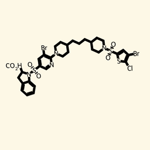 O=C(O)C1Cc2ccccc2N1S(=O)(=O)c1cnc(N2CCC(CCCC3CCN(S(=O)(=O)c4cc(Br)c(Cl)s4)CC3)CC2)c(Br)c1